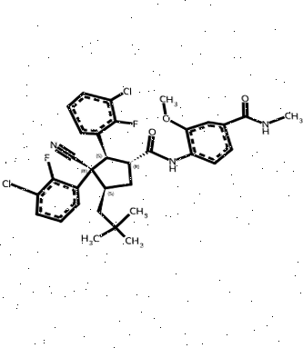 CNC(=O)c1ccc(NC(=O)[C@@H]2C[C@@H](CC(C)(C)C)[C@](C#N)(c3cccc(Cl)c3F)[C@H]2c2cccc(Cl)c2F)c(OC)c1